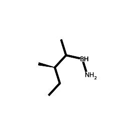 CC[C@@H](C)C(C)BN